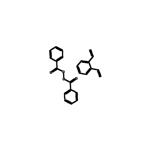 C=Cc1ccccc1C=C.O=C(OOC(=O)c1ccccc1)c1ccccc1